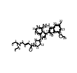 CCN(CC)C/C=C/C(=O)N1CCC(n2cc(-c3cc4cc(C)cc(OC)c4s3)c3c(N)ncnc32)C1